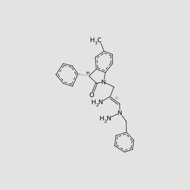 Cc1ccc2c(c1)[C@@H](c1ccccc1)C(=O)N2C/C(N)=C/N(N)Cc1ccccc1